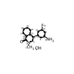 Cl.Cn1cc(-c2cc(N)cc(F)c2)c2ccccc2c1=O